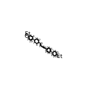 CCOc1ccc([C@H]2CC[C@H](C=CC#Cc3ccc([C@H]4CC[C@H](CC)CC4)cc3)CC2)cc1